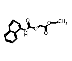 CCOC(=O)COC(=O)Nc1cccc2ccccc12